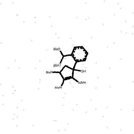 CNC1=C(NC)C(O)(c2ccccc2C(OC)OC)CC1NC